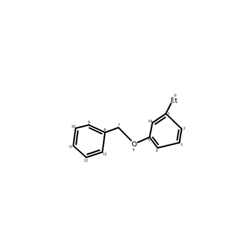 [CH2]Cc1cccc(OCc2ccccc2)c1